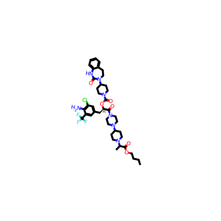 CCCCOC(=O)C(C)N1CCC(N2CCN(C(=O)[C@@H](Cc3cc(Cl)c(N)c(C(F)(F)F)c3)OC(=O)N3CCC(N4CCc5ccccc5NC4=O)CC3)CC2)CC1